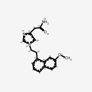 COc1ccc2cccc(CCn3cnc(CC(N)=O)c3)c2c1